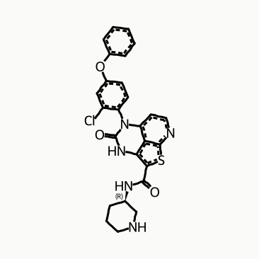 O=C(N[C@@H]1CCCNC1)c1sc2nccc3c2c1NC(=O)N3c1ccc(Oc2ccccc2)cc1Cl